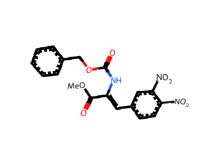 COC(=O)C(=Cc1ccc([N+](=O)[O-])c([N+](=O)[O-])c1)NC(=O)OCc1ccccc1